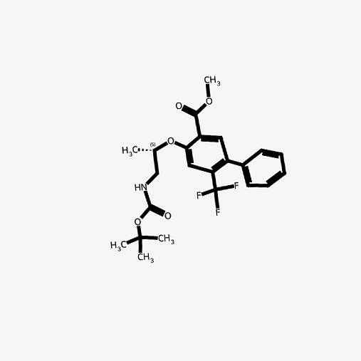 COC(=O)c1cc(-c2ccccc2)c(C(F)(F)F)cc1O[C@@H](C)CNC(=O)OC(C)(C)C